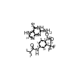 CC(C)C(=O)Nc1ccc([N+](=O)[O-])c(C(F)(F)F)c1.Nc1nc2nc[nH]c2c(=S)[nH]1